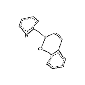 C1=CN(c2ccccn2)Oc2ccccc21